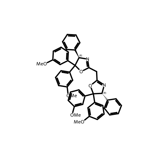 COc1cccc(C2(c3cccc(OC)c3)OC(CC3=N[C@H](c4ccccc4)C(c4cccc(OC)c4)(c4cccc(OC)c4)O3)=N[C@@H]2c2ccccc2)c1